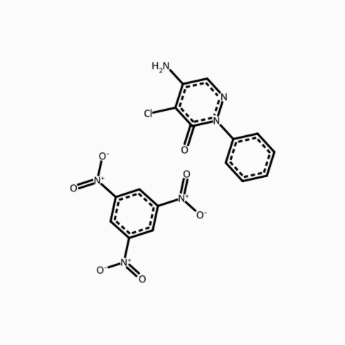 Nc1cnn(-c2ccccc2)c(=O)c1Cl.O=[N+]([O-])c1cc([N+](=O)[O-])cc([N+](=O)[O-])c1